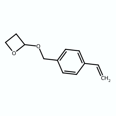 C=Cc1ccc(COC2CCO2)cc1